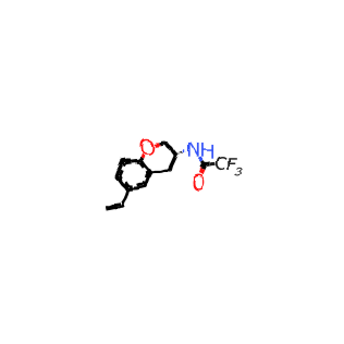 C=Cc1ccc2c(c1)C[C@@H](NC(=O)C(F)(F)F)CO2